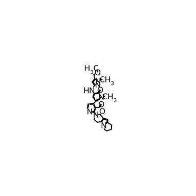 COCc1cc(Nc2cc(-c3ccnc(N4CCc5c(cc6n5CCCC6)C4=O)c3C=O)cn(C)c2=O)nn1C